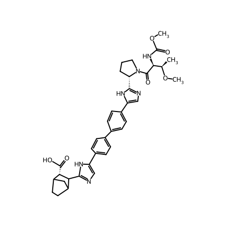 COC(=O)N[C@H](C(=O)N1CCC[C@H]1c1ncc(-c2ccc(-c3ccc(-c4cnc(C5C6CCC(C6)[C@@H]5C(=O)O)[nH]4)cc3)cc2)[nH]1)[C@@H](C)OC